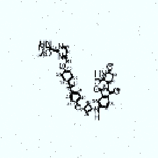 CC(=N)OC(=N)c1nccc(COc2ccc(C(C)(C)c3ccc(O[C@H]4C[C@@H](Nc5ccc6c(c5)C(=O)N(C5CCC(=O)NC5=O)C6=O)C4)cc3)cc2)n1